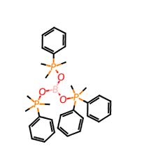 CP(C)(C)(OB(OP(C)(C)(C)c1ccccc1)OP(C)(C)(c1ccccc1)c1ccccc1)c1ccccc1